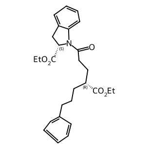 CCOC(=O)[C@H](CCCc1ccccc1)CCC(=O)N1c2ccccc2C[C@H]1C(=O)OCC